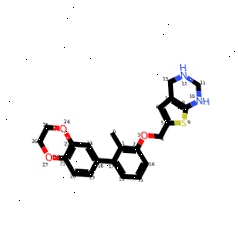 Cc1c(OCc2cc3c(s2)NCNC3)cccc1-c1ccc2c(c1)OCCO2